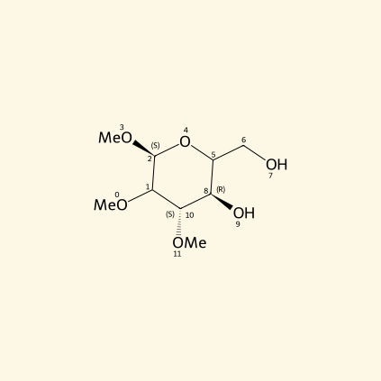 COC1[C@@H](OC)OC(CO)[C@@H](O)[C@@H]1OC